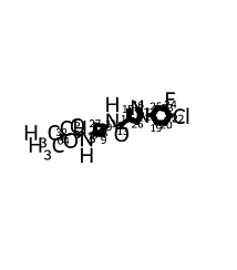 CC(C)(C)OC(=O)NC12CC(NC(=O)c3cnn(-c4ccc(Cl)c(F)c4)c3)(C1)C2